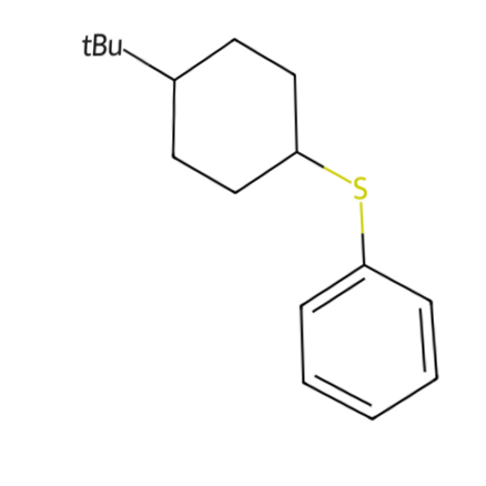 CC(C)(C)C1CCC(Sc2ccccc2)CC1